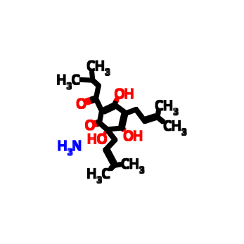 CC(C)=CCC1=C(O)[C@@](O)(CC=C(C)C)C(=O)C(C(=O)CC(C)C)=C1O.N